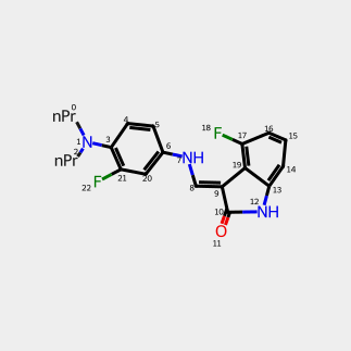 CCCN(CCC)c1ccc(N/C=C2/C(=O)Nc3cccc(F)c32)cc1F